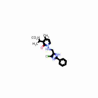 Cc1ccn(NCc2[nH]c(-c3ccccc3)nc2Cl)c(=O)c1C(C)C(=O)O